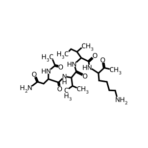 CCC(C)C(NC(=O)C(NC(=O)C(CC(N)=O)NC(C)=O)C(C)C)C(=O)NC(CCCCN)C(C)=O